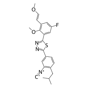 [C-]#[N+]c1cc(-c2nnc(-c3cc(F)cc(/C=C/OC)c3OC)s2)ccc1CC(C)C